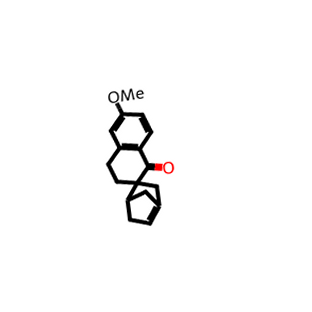 COc1ccc2c(c1)CCC1(CC3=CCC1C3)C2=O